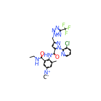 [C-]#[N+]c1cc(C)c(NC(=O)c2cc(Cn3nnc(C(F)(F)F)n3)nn2-c2ncccc2Cl)c(C(=O)NCC)c1